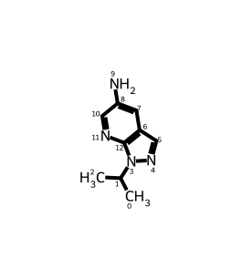 CC(C)n1ncc2cc(N)cnc21